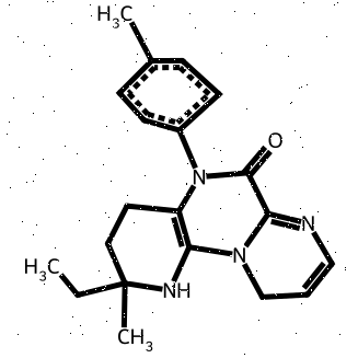 CCC1(C)CCC2=C(N1)N1CC=CN=C1C(=O)N2c1ccc(C)cc1